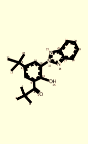 CC(C)(C)C(=O)c1cc(C(C)(C)C)cc(-n2nc3ccccc3n2)c1O